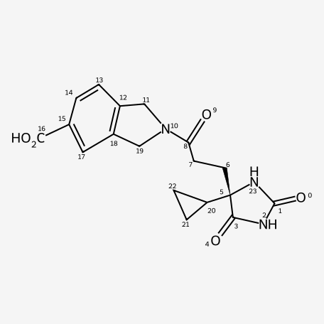 O=C1NC(=O)[C@](CCC(=O)N2Cc3ccc(C(=O)O)cc3C2)(C2CC2)N1